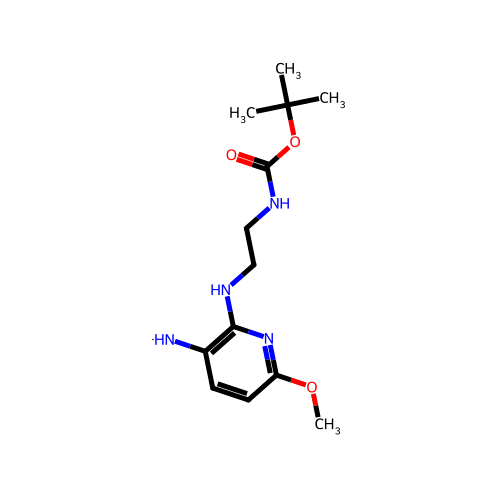 COc1ccc([NH])c(NCCNC(=O)OC(C)(C)C)n1